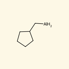 [AlH2][CH2]C1CCCC1